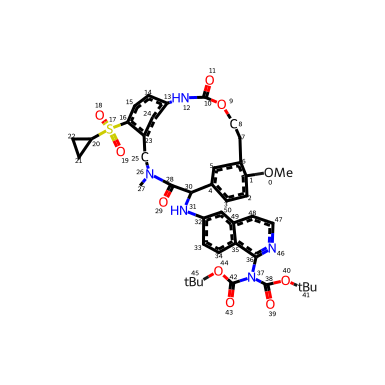 COc1ccc2cc1CCOC(=O)Nc1ccc(S(=O)(=O)C3CC3)c(c1)CN(C)C(=O)C2Nc1ccc2c(N(C(=O)OC(C)(C)C)C(=O)OC(C)(C)C)nccc2c1